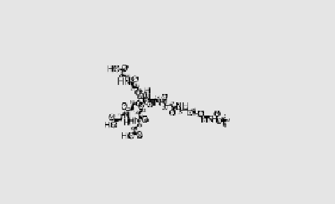 CC(C)(C)OC(=O)NCCOCCOCCNC(=O)CCC(=O)NCC(=O)NC(COCCC(=O)NCCC(=O)O)(COCCC(=O)NCCC(=O)O)COCCC(=O)NCCC(=O)O